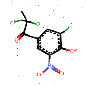 CC(Cl)(Cl)C(=O)c1cc(Cl)c(O)c([N+](=O)[O-])c1